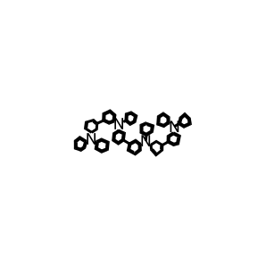 C1=CC(N(c2ccccc2)c2ccccc2)CC(c2cccc(N(c3ccccc3)c3cccc(-c4cccc(N(c5ccccc5)C5C=CC=C(c6cccc(N(c7ccccc7)c7ccccc7)c6)C5)c4)c3)c2)=C1